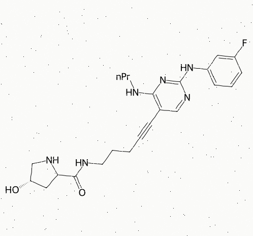 CCCNc1nc(Nc2cccc(F)c2)ncc1C#CCCCNC(=O)C1C[C@H](O)CN1